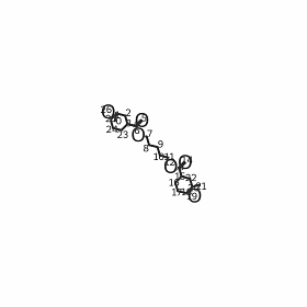 CC12CC(C(=O)OCCCCCOC(=O)C3CCC4OC4(C)C3)CCC1O2